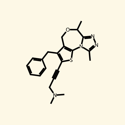 Cc1nnc2n1-c1sc(C#CCN(C)C)c(Cc3ccccc3)c1COC2C